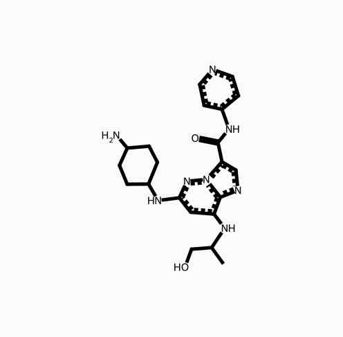 CC(CO)Nc1cc(NC2CCC(N)CC2)nn2c(C(=O)Nc3ccncc3)cnc12